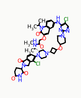 CC[C@@H]1CN([C@H]2C[C@H](OC3CCN(c4ncc(Cl)c(Nc5ccc6c(c5)cc(OCC(=O)NC)c(=O)n6C(C)C)n4)CC3)C2)CCN1c1ccc2c(c1Cl)CN(C1CCC(=O)NC1=O)C2=O